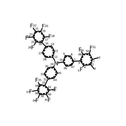 Cc1c(C)c(F)c(-c2ccc(N(c3ccc(-c4c(F)c(F)c(F)c(F)c4F)cc3)c3ccc(-c4c(F)c(F)c(F)c(F)c4F)cc3)cc2)c(F)c1F